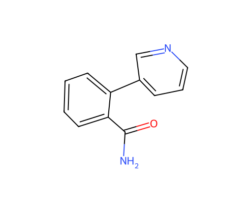 NC(=O)c1ccccc1-c1cccnc1